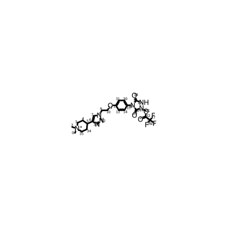 C[N+]1(C)CCC(c2cn(CCOc3ccc(-n4c(=O)[nH]n(OC(=O)C(F)(F)F)c4=O)cc3)nn2)CC1